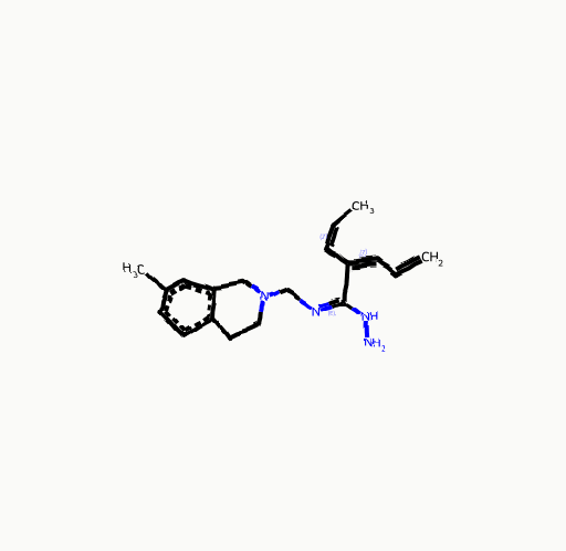 C=C/C=C(/C=C\C)C(=N/CN1CCc2ccc(C)cc2C1)\NN